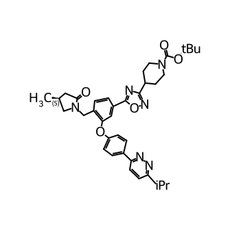 CC(C)c1ccc(-c2ccc(Oc3cc(-c4nc(C5CCN(C(=O)OC(C)(C)C)CC5)no4)ccc3CN3C[C@@H](C)CC3=O)cc2)nn1